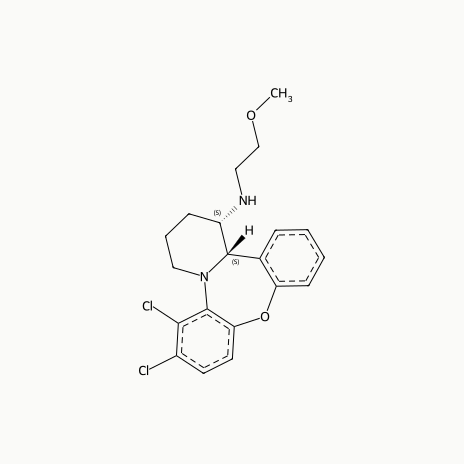 COCCN[C@H]1CCCN2c3c(ccc(Cl)c3Cl)Oc3ccccc3[C@@H]12